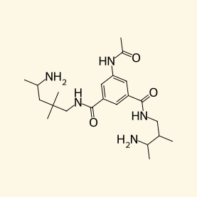 CC(=O)Nc1cc(C(=O)NCC(C)C(C)N)cc(C(=O)NCC(C)(C)CC(C)N)c1